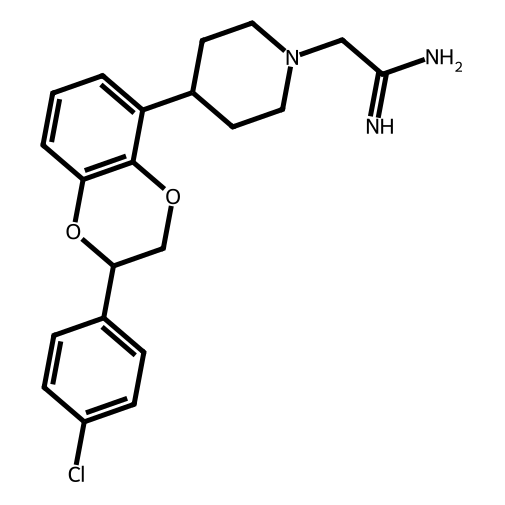 N=C(N)CN1CCC(c2cccc3c2OCC(c2ccc(Cl)cc2)O3)CC1